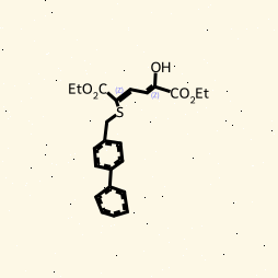 CCOC(=O)/C(O)=C/C=C(\SCc1ccc(-c2ccccc2)cc1)C(=O)OCC